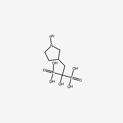 CCCN1CCC(CC(O)(P(=O)(O)O)P(=O)(O)O)C1